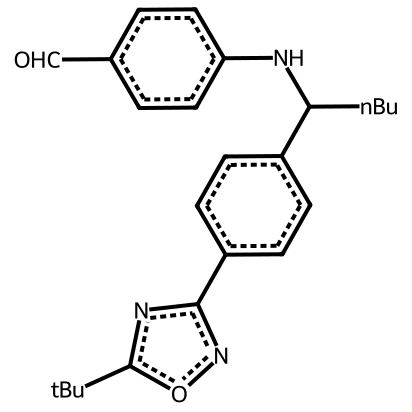 CCCCC(Nc1ccc(C=O)cc1)c1ccc(-c2noc(C(C)(C)C)n2)cc1